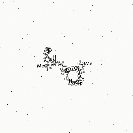 CC[C@H]1OC(=O)[C@H](C)C(O[C@H]2C[C@@](C)(OC)C[C@H](C)O2)[C@H](C)[C@@H](O[C@H]2C[C@@H](N(C)CCC3=CN([C@H](CF)[C@H](OC)c4ccc(C5=CCS(=O)(=O)C5)cc4)N(C)N3)C[C@@H](C)O2)[C@](C)(O)C[C@@H](C)CN(C)[C@H](C)[C@@H](O)[C@]1(C)O